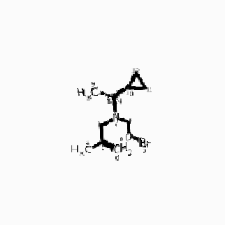 C=C(C)CN(COBr)[C@@H](C)C1CC1